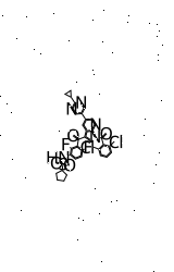 O=C(c1c(F)ccc(NS(=O)(=O)C2CCCC2)c1F)c1cn(C(=O)c2c(Cl)cccc2Cl)c2ncc(-c3cnc(C4CC4)nc3)cc12